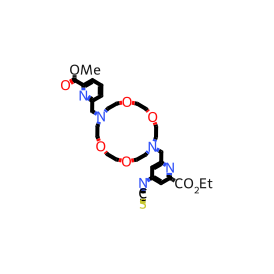 CCOC(=O)c1cc(N=C=S)cc(CN2CCOCCOCCN(Cc3cccc(C(=O)OC)n3)CCOCCOCC2)n1